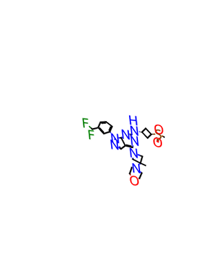 CC1(N2CCOCC2)CN(c2nc(N[C@H]3C[C@H](S(C)(=O)=O)C3)nc3c2cnn3-c2cccc(C(F)F)c2)C1